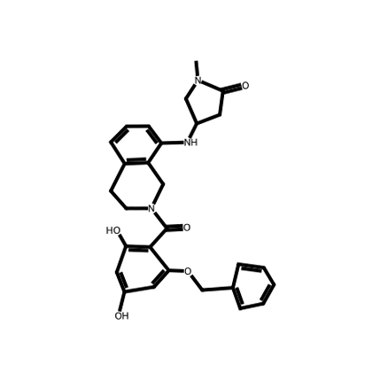 CN1CC(Nc2cccc3c2CN(C(=O)c2c(O)cc(O)cc2OCc2ccccc2)CC3)CC1=O